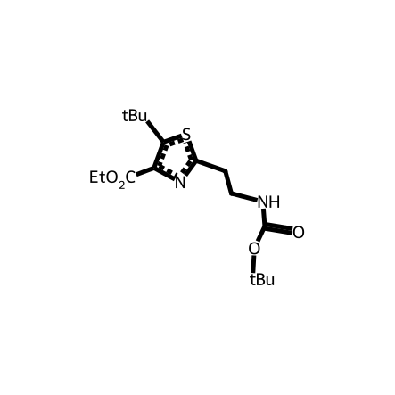 CCOC(=O)c1nc(CCNC(=O)OC(C)(C)C)sc1C(C)(C)C